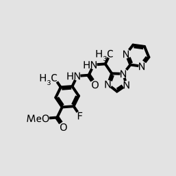 COC(=O)c1cc(C)c(NC(=O)NC(C)c2ncnn2-c2ncccn2)cc1F